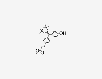 COC(=O)CCc1ccc(C(=C2CC(C)(C)CC(C)(C)C2)c2ccc(O)cc2)cc1